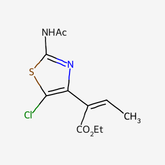 CC=C(C(=O)OCC)c1nc(NC(C)=O)sc1Cl